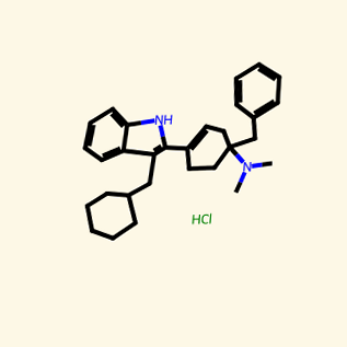 CN(C)C1(Cc2ccccc2)CC=C(c2[nH]c3ccccc3c2CC2CCCCC2)CC1.Cl